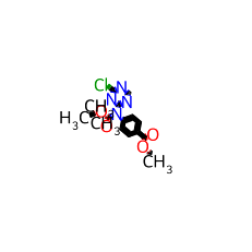 CCOC(=O)c1ccc(N(C(=O)OC(C)(C)C)c2ncnc(Cl)n2)cc1